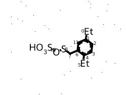 CCc1ccc(CC)c(CSOS(=O)(=O)O)c1